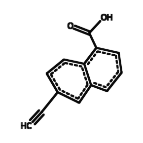 C#Cc1ccc2c(C(=O)O)cccc2c1